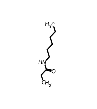 [CH2]CC(=O)NCCCCCC